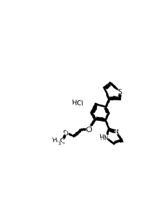 COCCOc1ccc(-c2ccsc2)cc1C1=NCCN1.Cl